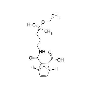 CCO[Si](C)(C)CCCNC(=O)C1C(C(=O)O)[C@@H]2C=C[C@H]1C2